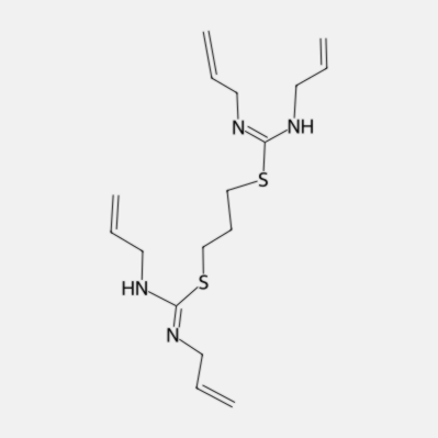 C=CCN=C(NCC=C)SCCCSC(=NCC=C)NCC=C